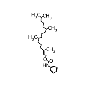 C/C(=C\COC(=O)Nc1ccccc1)CCCC(C)CCCC(C)CCCC(C)C